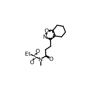 CCS(=O)(=O)N(C)C(=O)CCc1noc2c1CCCC2